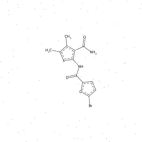 Cc1sc(NC(=O)c2ccc(Br)o2)c(C(N)=O)c1C